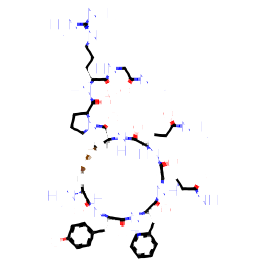 NC(=O)CC[C@@H]1NC(=O)[C@H](Cc2ccccc2)NC(=O)[C@H](Cc2ccc(O)cc2)NC(=O)[C@@H](N)CSSC[C@@H](C(=O)N2CCCC2C(=O)N[C@@H](CCCN=C(N)N)C(=O)NCC(N)=O)NC(=O)[C@H](CCC(N)=O)NC1=O